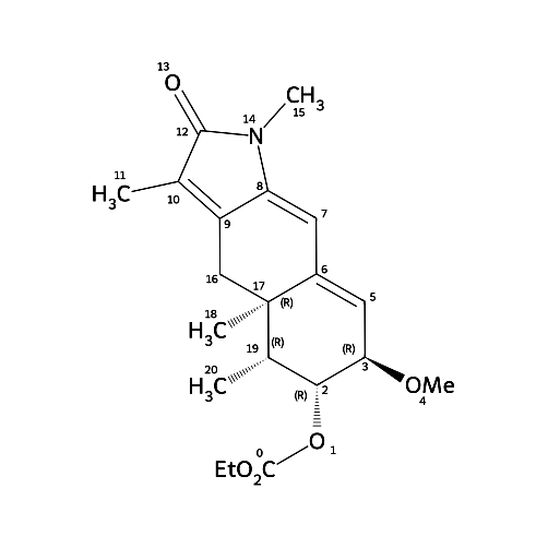 CCOC(=O)O[C@H]1[C@H](OC)C=C2C=C3C(=C(C)C(=O)N3C)C[C@]2(C)[C@H]1C